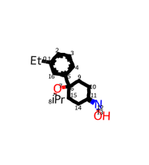 CCc1cccc(C2(OC(C)C)CCC(=NO)CC2)c1